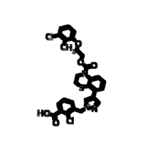 Cc1c(Cl)cccc1OCCOC(=O)N1CCSc2c(-c3cnn(Cc4cccc(C(=O)O)c4Cl)c3)cccc21